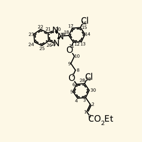 CCOC(=O)/C=C/c1ccc(OCCCOc2ccc(Cl)cc2-n2nc3ccccc3n2)c(Cl)c1